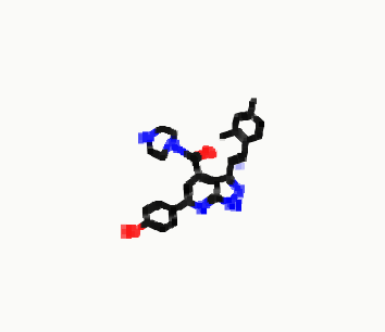 Cc1ccc(/C=C/c2n[nH]c3nc(-c4ccc(O)cc4)cc(C(=O)N4CCNCC4)c23)c(C)c1